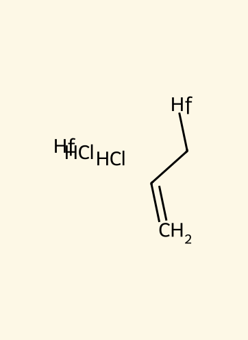 C=C[CH2][Hf].Cl.Cl.[Hf]